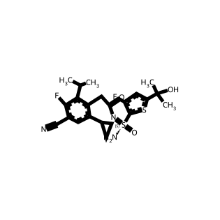 CC(C)c1c(F)c(C#N)cc(C2CC2)c1CC(=O)N=[S@](N)(=O)c1sc(C(C)(C)O)cc1F